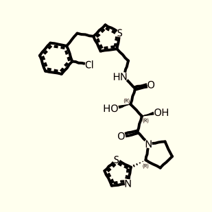 O=C(NCc1cc(Cc2ccccc2Cl)cs1)[C@H](O)[C@@H](O)C(=O)N1CCC[C@@H]1c1nccs1